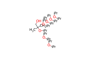 CC(C)OC(C)(C)CO.CC(C)OC(C)C.CC(C)OC(C)C.CC(C)OC(C)C.CC(C)OC(C)C.CC(C)OC(C)C.CC(C)OC(C)C